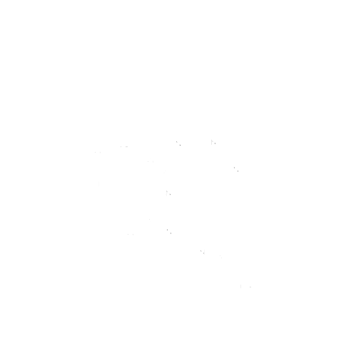 CCCCOC(=O)N1CCN(C(=O)[C@H](CCP(=O)(O)O)NC(=O)c2cc(N3CCCC3)nc(-c3ccccc3)n2)CC1